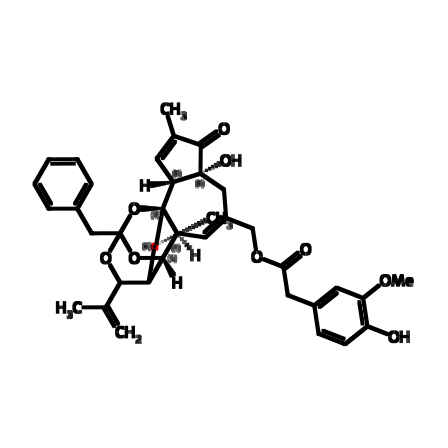 C=C(C)C1OC2(Cc3ccccc3)O[C@H]3C1C[C@@H](C)[C@@]1(O2)[C@H]3C=C(COC(=O)Cc2ccc(O)c(OC)c2)C[C@]2(O)C(=O)C(C)=C[C@@H]12